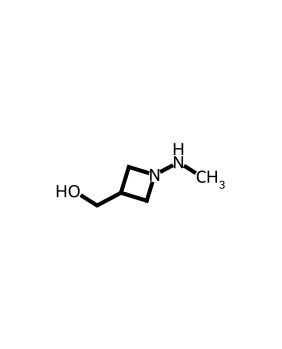 CNN1CC(CO)C1